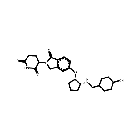 N#CC1CCC(CN[C@@H]2CCC[C@H]2Oc2ccc3c(c2)CN(C2CCC(=O)NC2=O)C3=O)CC1